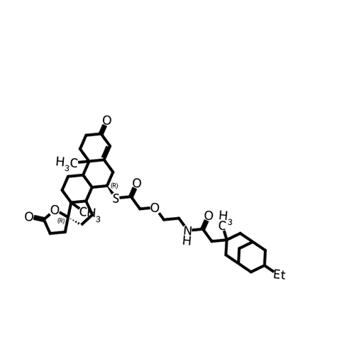 CCC1CC2CC(C1)CC(C)(CC(=O)NCCOCC(=O)S[C@@H]1CC3=CC(=O)CCC3(C)C3CCC4(C)C(CC[C@@]45CCC(=O)O5)C31)C2